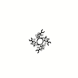 CCC(CC)C(=O)NC(N1CCN(C(NC(=O)C(CC)CC)P(=O)(O)O)CCN(C(NC(=O)C(CC)CC)P(=O)(O)O)CCN(C(NC(=O)C(CC)CC)P(=O)(O)O)CC1)P(=O)(O)O